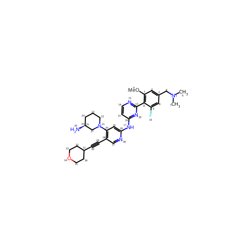 COc1cc(CN(C)C)cc(F)c1-c1nccc(Nc2cc(N3CCC[C@H](N)C3)c(C#CC3CCOCC3)cn2)n1